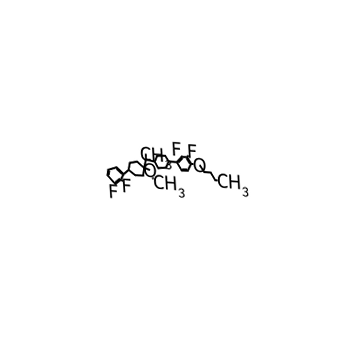 CCCCOc1ccc(C2CCC(C(C)C3(OCC)CCC(c4cccc(F)c4F)CC3)CC2)c(F)c1F